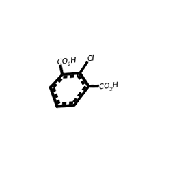 O=C(O)c1cccc(C(=O)O)c1Cl